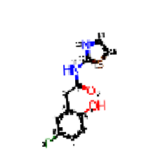 O=C(Cc1cc(F)ccc1O)Nc1nccs1